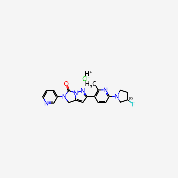 Cc1nc(N2CC[C@@H](F)C2)ccc1-c1cc2n(n1)C(=O)N(c1cccnc1)C2.[Cl-].[H+]